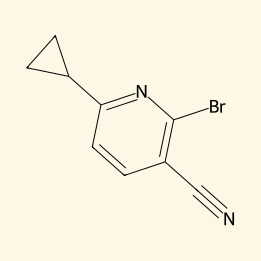 N#Cc1ccc(C2CC2)nc1Br